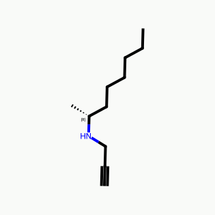 C#CCN[C@H](C)CCCCCC